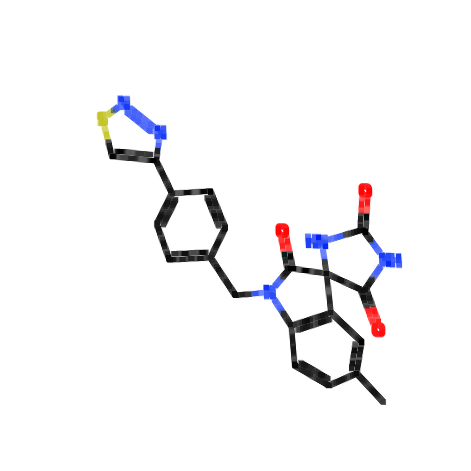 Cc1ccc2c(c1)C1(NC(=O)NC1=O)C(=O)N2Cc1ccc(-c2csnn2)cc1